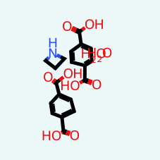 C1CNC1.O.O.O=C(O)c1ccc(C(=O)O)cc1.O=C(O)c1ccc(C(=O)O)cc1